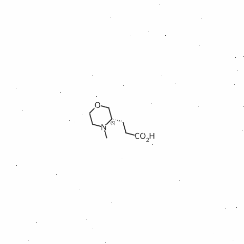 CN1CCOC[C@@H]1CCC(=O)O